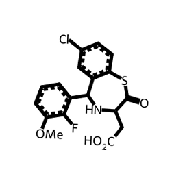 COc1cccc(C2NC(CC(=O)O)C(=O)Sc3ccc(Cl)cc32)c1F